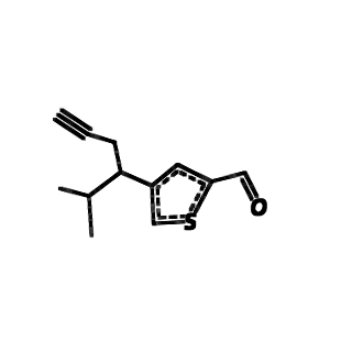 C#CCC(c1csc(C=O)c1)C(C)C